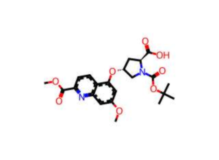 COC(=O)c1ccc2c(O[C@@H]3C[C@@H](C(=O)O)N(C(=O)OC(C)(C)C)C3)cc(OC)cc2n1